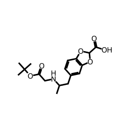 CC(Cc1ccc2c(c1)OC(C(=O)O)O2)NCC(=O)OC(C)(C)C